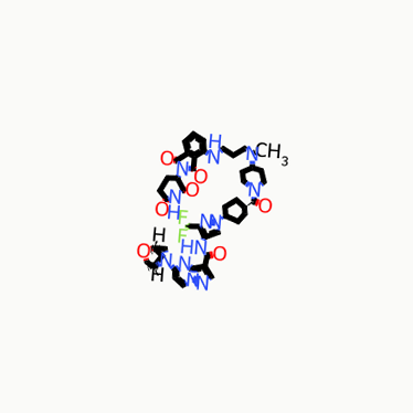 CN(CCCNc1cccc2c1C(=O)N(C1CCC(=O)NC1=O)C2=O)C1CCN(C(=O)[C@H]2CC[C@H](n3cc(NC(=O)c4cnn5ccc(N6C[C@H]7C[C@@H]6CO7)nc45)c(C(F)F)n3)CC2)CC1